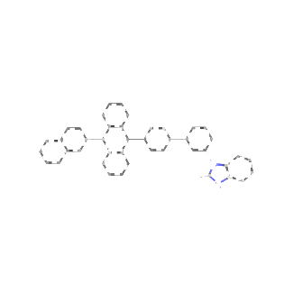 Cc1nc2ccccc2n1-c1cccc(-c2ccc(-c3c4ccccc4c(-c4ccc5ccccc5c4)c4ccccc34)cc2)c1